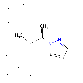 CC[C@@H](C)n1cccn1